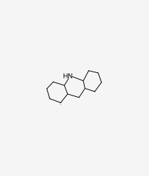 [CH]1CCCC2NC3CCCCC3CC12